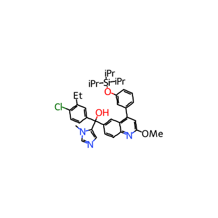 CCc1cc(C(O)(c2ccc3nc(OC)cc(-c4cccc(O[Si](C(C)C)(C(C)C)C(C)C)c4)c3c2)c2cncn2C)ccc1Cl